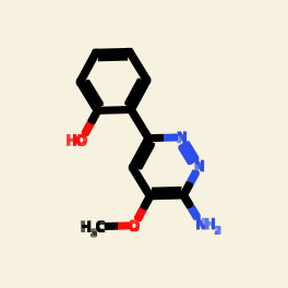 COc1cc(-c2ccccc2O)nnc1N